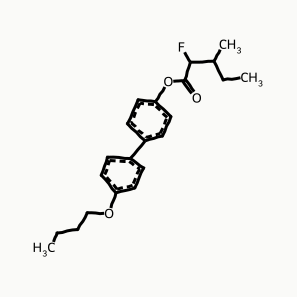 CCCCOc1ccc(-c2ccc(OC(=O)C(F)C(C)CC)cc2)cc1